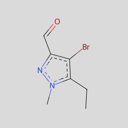 CCc1c(Br)c(C=O)nn1C